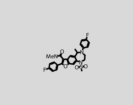 CNC(=O)c1c(-c2ccc(F)cc2)oc2cc3c(cc12)C(C)N(c1ccc(F)cc1)CCN3S(C)(=O)=O